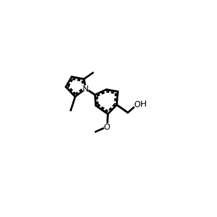 COc1cc(-n2c(C)ccc2C)ccc1CO